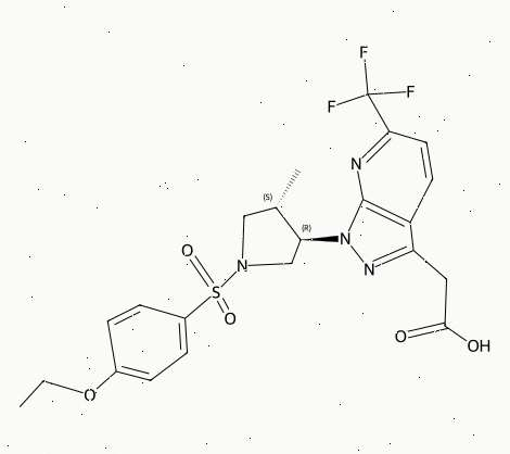 CCOc1ccc(S(=O)(=O)N2C[C@H](C)[C@@H](n3nc(CC(=O)O)c4ccc(C(F)(F)F)nc43)C2)cc1